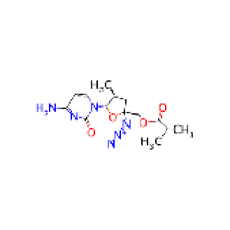 CC(C)C(=O)OC[C@]1(N=[N+]=[N-])C[C@H](C)[C@H](n2ccc(N)nc2=O)O1